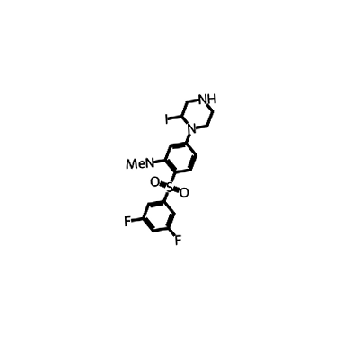 CNc1cc(N2CCNCC2I)ccc1S(=O)(=O)c1cc(F)cc(F)c1